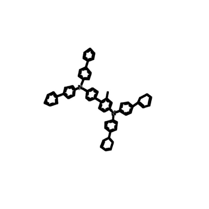 Cc1cc(N(c2ccc(C3=CC=CCC3)cc2)c2ccc(C3C=CC=CC3)cc2)ccc1-c1ccc(N(c2ccc(-c3ccccc3)cc2)c2ccc(-c3ccccc3)cc2)cc1